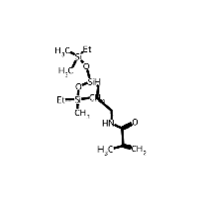 C=C(C)C(=O)NCCC[SiH](O[Si](C)(C)CC)O[Si](C)(C)CC